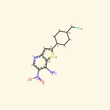 Nc1c([N+](=O)[O-])cnc2cc(C3CCC(CF)CC3)sc12